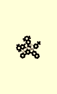 Cc1cc2c(cc1N1c3c(oc4cc5c(cc34)C(C)(C)CCC5(C)C)B3c4c(cc5c(oc6ccccc65)c41)-c1cc4ccccc4cc1N3c1ccc(C(C)(C)C)cc1)C(C)(C)CCC2(C)C